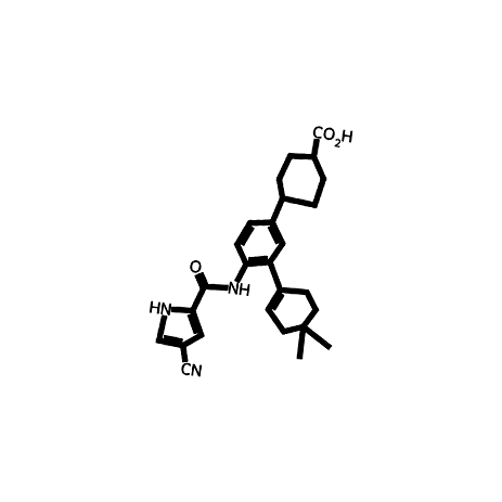 CC1(C)CC=C(c2cc(C3CCC(C(=O)O)CC3)ccc2NC(=O)c2cc(C#N)c[nH]2)CC1